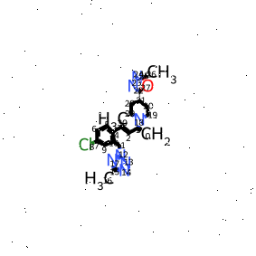 C=C(/C=C/c1ccc(Cl)cc1Cn1nnc(C)n1)N1CC[C@@H](c2nnc(C)o2)C[C@H]1C